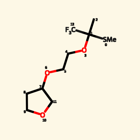 CSC(C)(OCCOC1CCOC1)C(F)(F)F